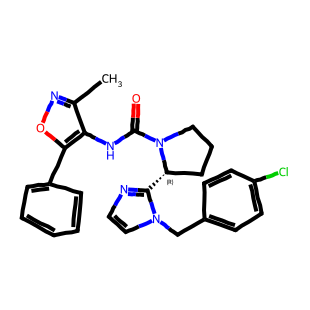 Cc1noc(-c2ccccc2)c1NC(=O)N1CCC[C@@H]1c1nccn1Cc1ccc(Cl)cc1